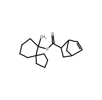 CC1(OC(=O)C2CC3C=CC2C3)CCCCC12CCCC2